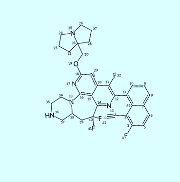 C#Cc1c(F)ccc2cccc(-c3nc4c5c(nc(OCC67CCCN6CCC7)nc5c3F)N3CCNCC3CC4(F)F)c12